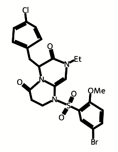 CCN1C=C2N(C(=O)CCN2S(=O)(=O)c2cc(Br)ccc2OC)C(Cc2ccc(Cl)cc2)C1=O